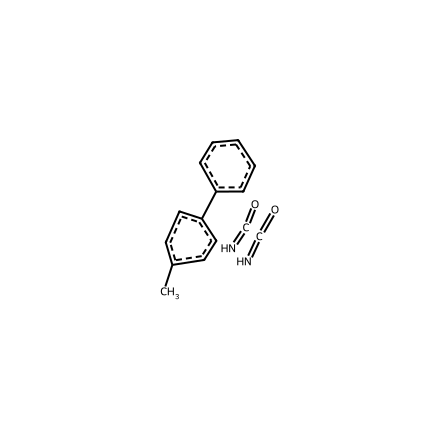 Cc1ccc(-c2ccccc2)cc1.N=C=O.N=C=O